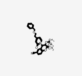 CC(=O)OC1C(n2ccc(CCOCc3ccccc3)cc2=O)c2cc(C#N)ccc2OC1(C)C